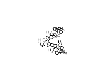 Cc1cccc(C)c1N(c1ccc2cc3c(cc2c1)oc1c(C)c(C)c2oc4cc5cc(N(c6c(C)cccc6C)c6c(C)cccc6C)ccc5cc4c2c13)c1c(C)cccc1C